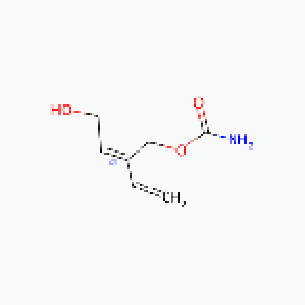 C=C/C(=C/CO)COC(N)=O